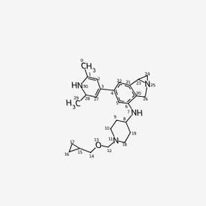 CC1=CC(c2cc(NC3CCN(COCC4CC4)CC3)c3c(c2)C2CN2C3)=CC(C)N1